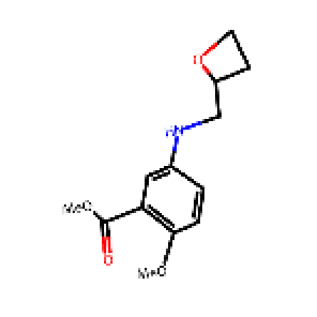 COC(=O)c1cc(NCC2CCO2)ccc1OC